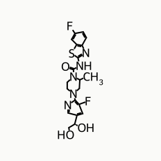 CC1CN(c2ncc([C@@H](O)CO)cc2F)CCN1C(=O)Nc1nc2ccc(F)cc2s1